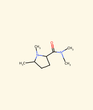 CC1CCC(C(=O)N(C)C)N1C